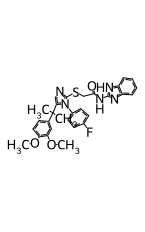 COc1ccc(C(C)(C)c2cnc(SCC(=O)Nc3nc4ccccc4[nH]3)n2-c2ccc(F)cc2)cc1OC